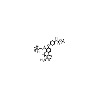 CN(CCNS(C)(=O)=O)c1c(O[C@H]2CC[C@H](NC(=O)OC(C)(C)C)CC2)ccc2c1CC(C)(C)c1c(N)ncnc1-2